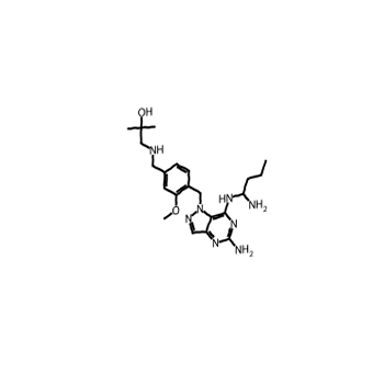 CCCC(N)Nc1nc(N)nc2cnn(Cc3ccc(CNCC(C)(C)O)cc3OC)c12